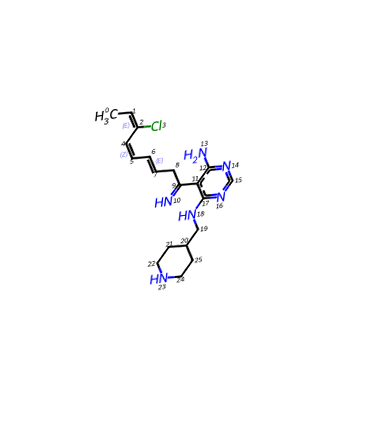 C\C=C(Cl)/C=C\C=C\CC(=N)c1c(N)ncnc1NCC1CCNCC1